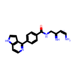 N=C(/C=C\N)CNC(=O)c1ccc(-c2nccc3[nH]ccc23)cc1